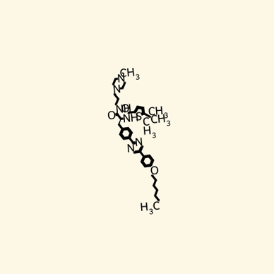 CCCCCCCOc1ccc(-c2cnc(-c3ccc(C[C@H](NC(=O)c4ccc(C(C)(C)C)s4)C(=O)NCCCN4CCN(C)CC4)cc3)nc2)cc1